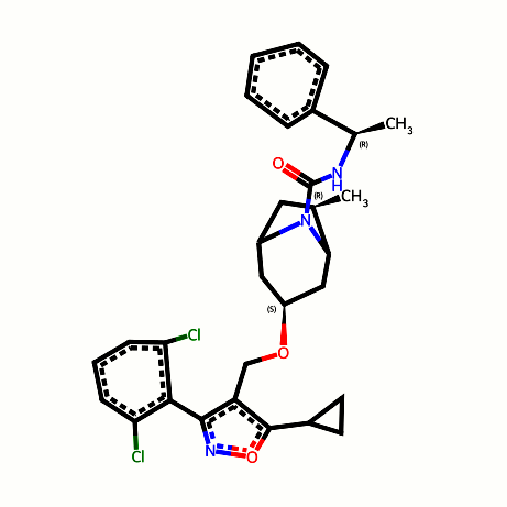 C[C@@H]1CC2C[C@H](OCc3c(-c4c(Cl)cccc4Cl)noc3C3CC3)CC1N2C(=O)N[C@H](C)c1ccccc1